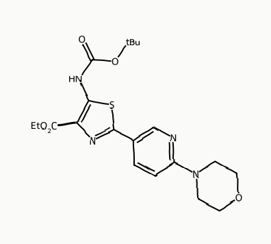 CCOC(=O)c1nc(-c2ccc(N3CCOCC3)nc2)sc1NC(=O)OC(C)(C)C